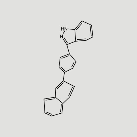 c1ccc2cc(-c3ccc(-c4n[nH]c5ccccc45)cc3)ccc2c1